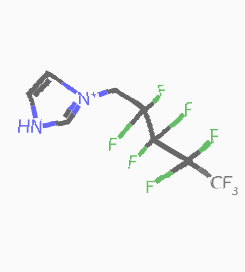 FC(F)(F)C(F)(F)C(F)(F)C(F)(F)C[n+]1cc[nH]c1